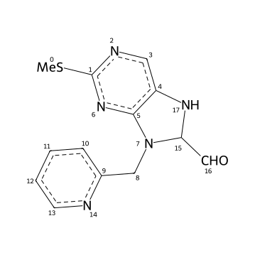 CSc1ncc2c(n1)N(Cc1ccccn1)C(C=O)N2